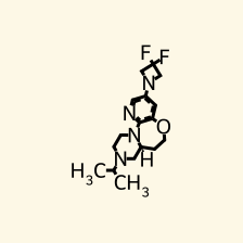 CC(C)N1CCN2c3ncc(N4CC(F)(F)C4)cc3OCC[C@H]2C1